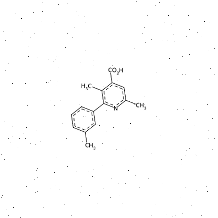 Cc1cccc(-c2nc(C)cc(C(=O)O)c2C)c1